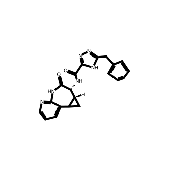 O=C(N[C@H]1C(=O)Nc2ncccc2C2C[C@H]21)c1nnc(Cc2ccccc2)[nH]1